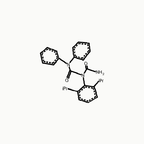 CC(C)c1cccc(C(C)C)c1N(C(N)=O)C(=O)N(c1ccccc1)c1ccccc1